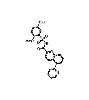 COc1ccc(C(C)(C)C)cc1S(=O)(=O)NC(=O)c1ccc2c(-c3ccncn3)cccc2n1